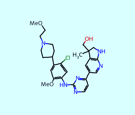 COCCN1CCC(c2cc(OC)c(Nc3nccc(-c4cnc5c(c4)C(C)(CO)CN5)n3)cc2Cl)CC1